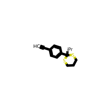 C#Cc1ccc(C2(C(C)C)SCCCS2)cc1